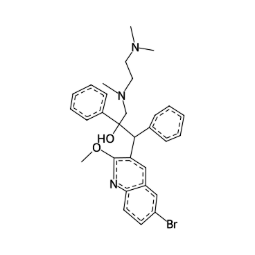 COc1nc2ccc(Br)cc2cc1C(c1ccccc1)C(O)(CN(C)CCN(C)C)c1ccccc1